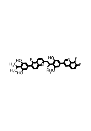 CC(C)c1c(O)cc(-c2ccc3nc(CC(C)c4c(O)cc(-c5cnc6c(F)c(F)ccc6c5)cc4O)ccc3c2F)cc1O